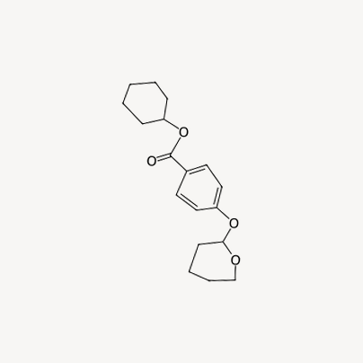 O=C(OC1CCCCC1)c1ccc(OC2CCCCO2)cc1